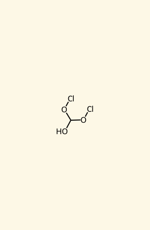 OC(OCl)OCl